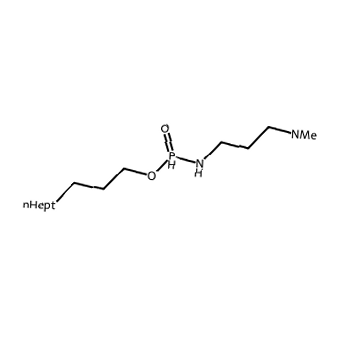 CCCCCCCCCCO[PH](=O)NCCCNC